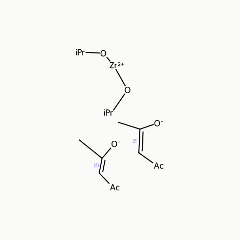 CC(=O)/C=C(/C)[O-].CC(=O)/C=C(/C)[O-].CC(C)[O][Zr+2][O]C(C)C